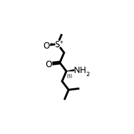 CC(C)C[C@H](N)C(=O)C[S+](C)[O-]